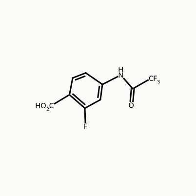 O=C(O)c1ccc(NC(=O)C(F)(F)F)cc1F